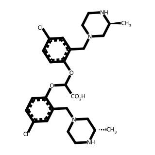 C[C@H]1CN(Cc2cc(Cl)ccc2OC(Oc2ccc(Cl)cc2CN2CCN[C@@H](C)C2)C(=O)O)CCN1